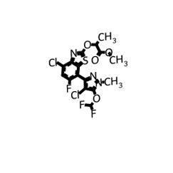 COC(=O)C(C)Oc1nc2c(Cl)cc(F)c(-c3nn(C)c(OC(F)F)c3Cl)c2s1